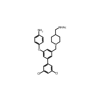 CC(=O)NCC1CCN(Cc2cc(Oc3ccc(N)cc3)cc(-c3cc(Cl)cc(Cl)c3)c2)CC1